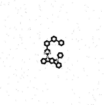 c1ccc(-c2cccc(-c3cccc(-c4cnc(-n5c6ccccc6c6cc7c8ccccc8n(-c8ccccc8)c7cc65)nc4)c3)c2)cc1